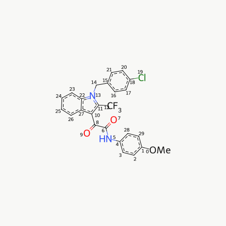 COc1ccc(NC(=O)C(=O)c2c(C(F)(F)F)n(Cc3ccc(Cl)cc3)c3ccccc23)cc1